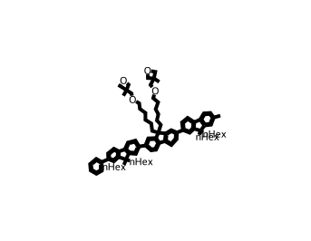 CCCCCCC1(CCCCCC)c2cc(C)ccc2-c2ccc(-c3ccc4c(c3)C(CCCCCCOCC3(C)COC3)(CCCCCCOCC3(C)COC3)c3cc(-c5ccc6c(c5)C(CCCCCC)(CCCCCC)c5cc(-c7ccccc7)ccc5-6)ccc3-4)cc21